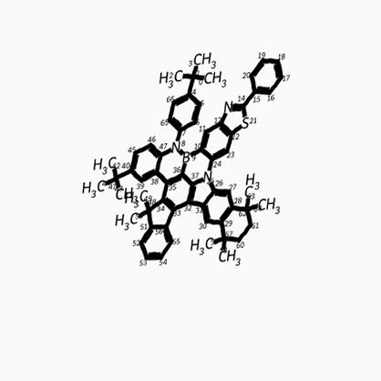 CC(C)(C)c1ccc(N2B3c4cc5nc(-c6ccccc6)sc5cc4-n4c5cc6c(cc5c5c7c(c(c3c54)-c3cc(C(C)(C)C)ccc32)C(C)(C)c2ccccc2-7)C(C)(C)CCC6(C)C)cc1